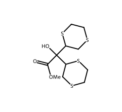 COC(=O)C(O)(C1CSCCS1)C1CSCCS1